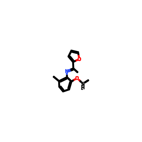 CC(=Nc1c(C)cccc1O[SiH](C)C)c1ccco1